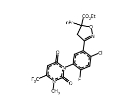 CCCC1(C(=O)OCC)CC(c2cc(-n3c(=O)cc(C(F)(F)F)n(C)c3=O)c(F)cc2Cl)=NO1